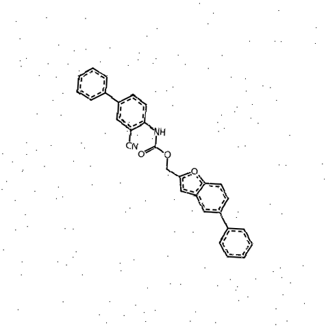 N#Cc1cc(-c2ccccc2)ccc1NC(=O)OCc1cc2cc(-c3ccccc3)ccc2o1